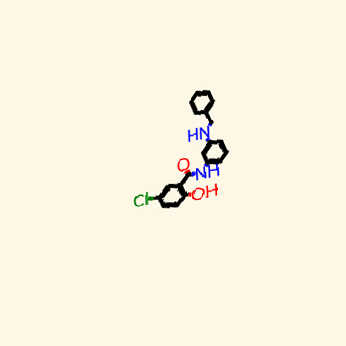 O=C(Nc1cccc(NCc2ccccc2)c1)c1cc(Cl)ccc1O